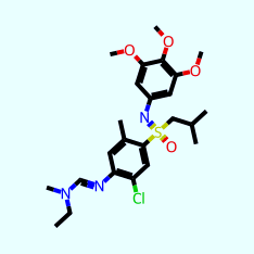 CCN(C)C=Nc1cc(C)c(S(=O)(CC(C)C)=Nc2cc(OC)c(OC)c(OC)c2)cc1Cl